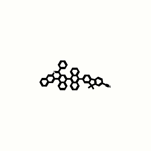 CC1(C)c2cc(C#N)ccc2-c2ccc(-c3c4ccccc4c(-c4cc5c(-c6ccccc6)nc6cc7ccccc7cc6c5c5ccccc45)c4ccccc34)cc21